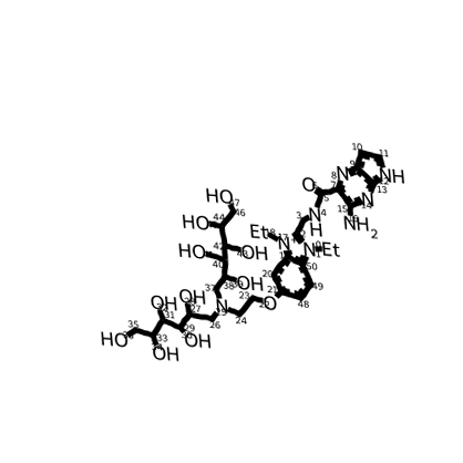 CCn1c(CNC(=O)c2nc3cc[nH]c3nc2N)[n+](CC)c2cc(OCCN(CC(O)C(O)C(O)C(O)CO)CC(O)C(O)C(O)C(O)CO)ccc21